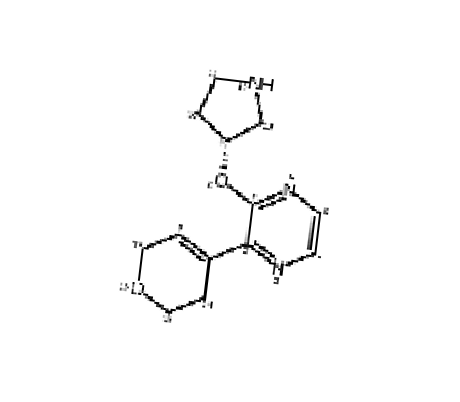 C1=C(c2nccnc2O[C@@H]2CCNC2)CCOC1